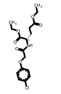 CCOC(=O)CC[C@H](NC(=O)COc1ccc(Cl)cc1)C(=O)OCC